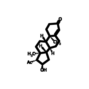 CC(=O)[C@H]1[C@H](O)C[C@H]2[C@@H]3CCC4=CC(=O)CC[C@]4(C)[C@H]3CC[C@@]21C